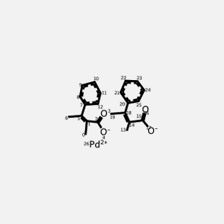 CC(C(=O)[O-])=C(C)c1ccccc1.CC(C(=O)[O-])=C(C)c1ccccc1.[Pd+2]